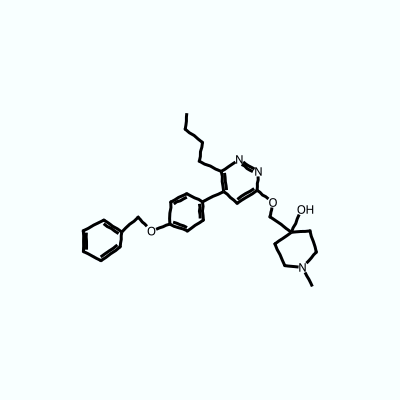 CCCCc1nnc(OCC2(O)CCN(C)CC2)cc1-c1ccc(OCc2ccccc2)cc1